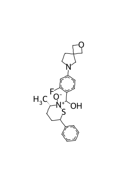 C[C@H]1CCC(c2ccccc2)S[N+]1([O-])C(O)c1ccc(N2CCC3(COC3)C2)cc1F